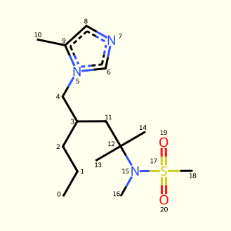 CCCC(Cn1cncc1C)CC(C)(C)N(C)S(C)(=O)=O